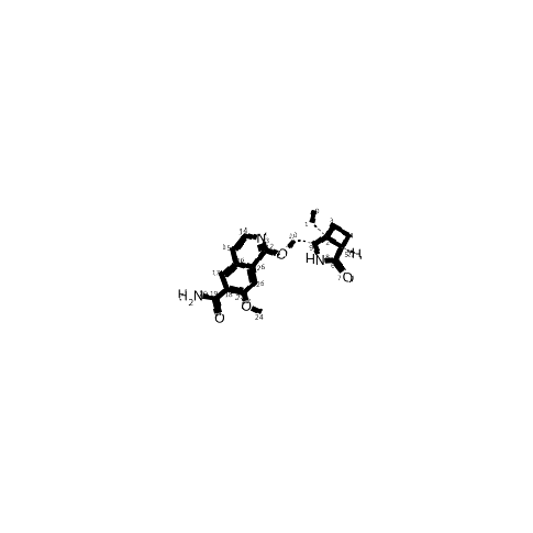 CC[C@]12CC[C@H]1C(=O)N[C@@H]2COc1nccc2cc(C(N)=O)c(OC)cc12